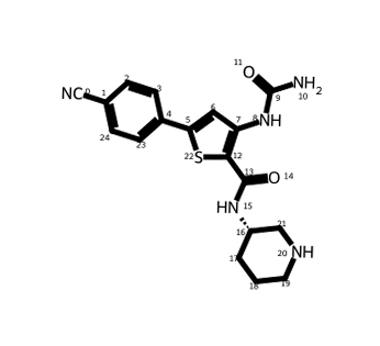 N#Cc1ccc(-c2cc(NC(N)=O)c(C(=O)N[C@H]3CCCNC3)s2)cc1